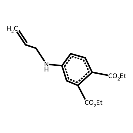 C=CCNc1ccc(C(=O)OCC)c(C(=O)OCC)c1